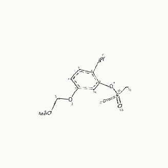 COCOc1ccc(C(C)C)c(OS(C)(=O)=O)c1